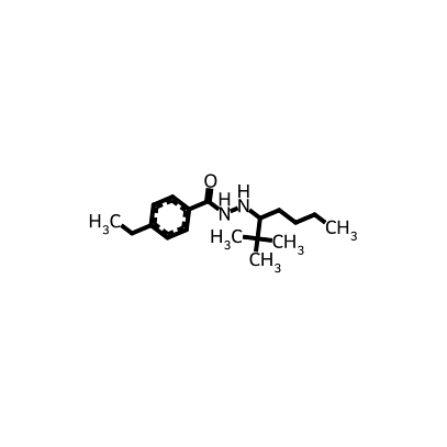 CCCCC(NNC(=O)c1ccc(CC)cc1)C(C)(C)C